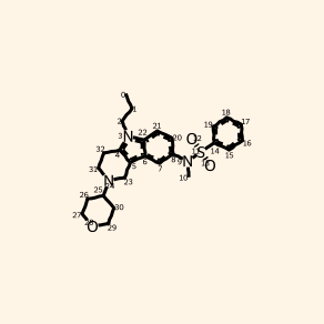 CCCn1c2c(c3cc(N(C)S(=O)(=O)c4ccccc4)ccc31)CN(C1CCOCC1)CC2